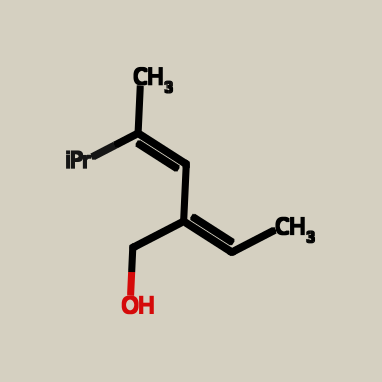 C/C=C(\C=C(\C)C(C)C)CO